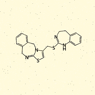 C1=C(CSC2=NCCc3ccccc3N2)N2Cc3ccccc3CN=C2S1